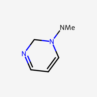 CNN1C=CC=NC1